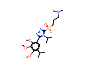 COc1c(-c2nnc(S(=O)(=O)CCCN(C)C)n2C(C)C)cc(C(C)C)c(OC)c1OC